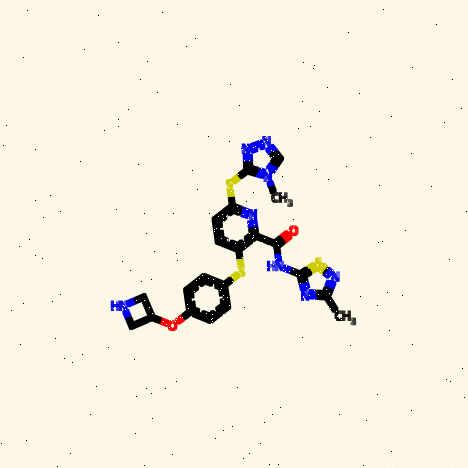 Cc1nsc(NC(=O)c2nc(Sc3nncn3C)ccc2Sc2ccc(OC3CNC3)cc2)n1